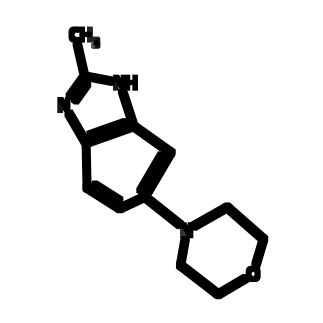 Cc1nc2ccc(N3CCOCC3)cc2[nH]1